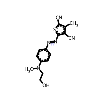 Cc1c(C#N)sc(/N=N/c2ccc(N(C)CCO)cc2)c1C#N